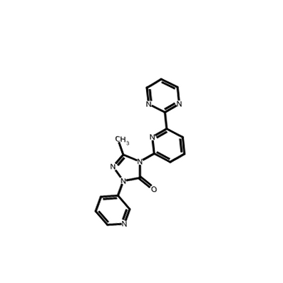 Cc1nn(-c2cccnc2)c(=O)n1-c1cccc(-c2ncccn2)n1